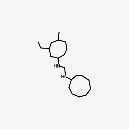 CCC1CC(C)CCCC(NCNC2CCCCCCCC2)C1